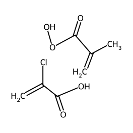 C=C(C)C(=O)OO.C=C(Cl)C(=O)O